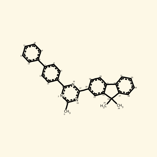 Cc1nc(-c2ccc(-c3ccccc3)cc2)nc(-c2ccc3c(c2)C(C)(C)c2ccccc2-3)n1